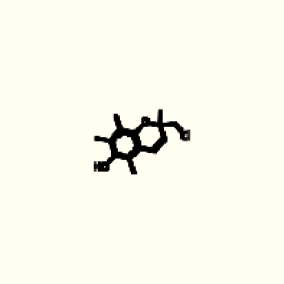 Cc1c(C)c2c(c(C)c1O)C=CC(C)(CCl)O2